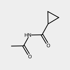 CC(=O)NC(=O)C1CC1